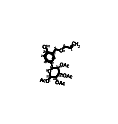 C=CCOCc1cc([C@@H]2OC(OC(C)=O)[C@@H](OC(C)=O)[C@H](OC(C)=O)[C@H]2OC(C)=O)ccc1Cl